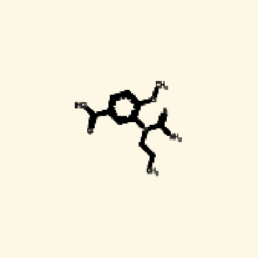 CCCN(C(N)=S)c1cc(C(=O)O)ccc1OC